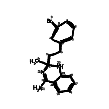 CC1(CCc2cccc(Br)c2)N=C(N)c2ccccc2N1